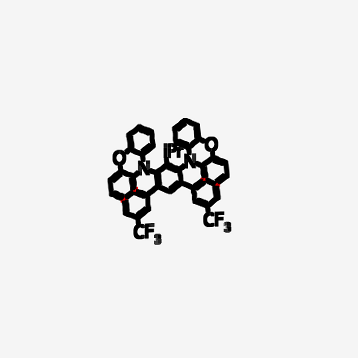 CC(C)c1c(N2c3ccccc3Oc3ccccc32)c(-c2cccc(C(F)(F)F)c2)cc(-c2cccc(C(F)(F)F)c2)c1N1c2ccccc2Oc2ccccc21